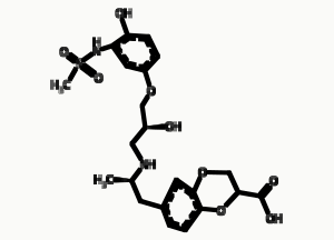 C[C@H](Cc1ccc2c(c1)OCC(C(=O)O)O2)NC[C@H](O)COc1ccc(O)c(NS(C)(=O)=O)c1